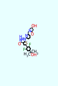 CC(C)(O)c1cc(F)c(-c2cc(C(N)=O)c(Nc3cccc(CN4C[C@@H](O)CC4=O)n3)s2)c(F)c1